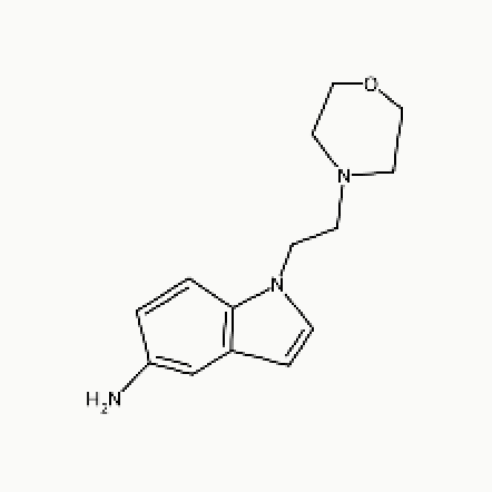 Nc1ccc2c(ccn2CCN2CCOCC2)c1